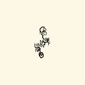 Cc1nn(C2CC3CCC(C2)N3C)cc1Nc1ncc(C(F)F)c(NCCCN2CCCCOC2=O)n1